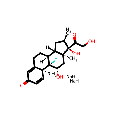 C[C@@H]1C[C@H]2[C@@H]3CCC4=CC(=O)C=C[C@]4(C)[C@@]3(F)[C@@H](O)C[C@]2(C)[C@@]1(O)C(=O)CO.[NaH].[NaH]